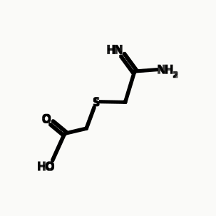 N=C(N)CSCC(=O)O